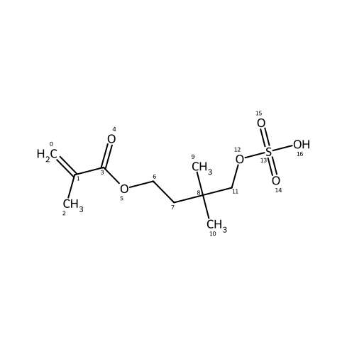 C=C(C)C(=O)OCCC(C)(C)COS(=O)(=O)O